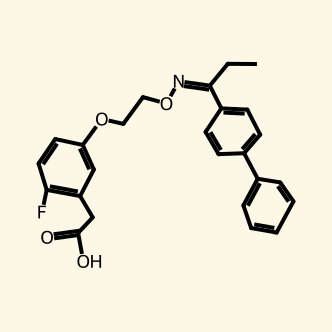 CCC(=NOCCOc1ccc(F)c(CC(=O)O)c1)c1ccc(-c2ccccc2)cc1